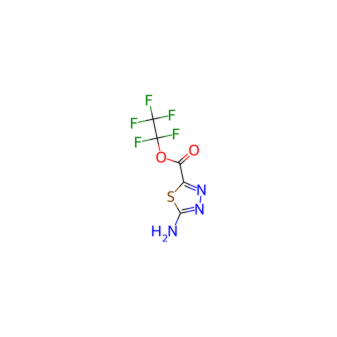 Nc1nnc(C(=O)OC(F)(F)C(F)(F)F)s1